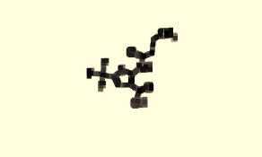 CCCC(=O)Nc1sc(C(F)(F)F)cc1C(=O)O